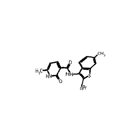 CCCc1sc2cc(C)ccc2c1NC(=O)c1ccc(C)[nH]c1=O